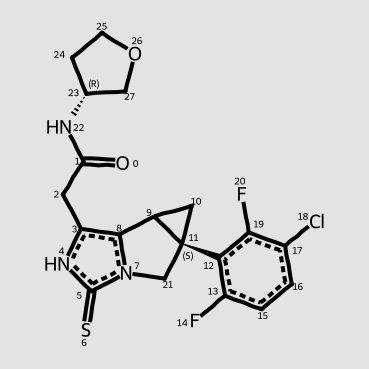 O=C(Cc1[nH]c(=S)n2c1C1C[C@]1(c1c(F)ccc(Cl)c1F)C2)N[C@@H]1CCOC1